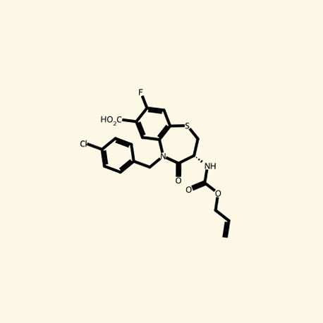 C=CCOC(=O)N[C@H]1CSc2cc(F)c(C(=O)O)cc2N(Cc2ccc(Cl)cc2)C1=O